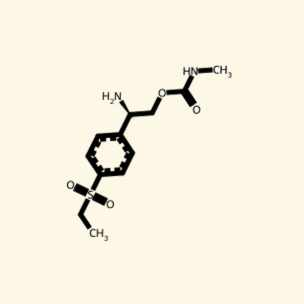 CCS(=O)(=O)c1ccc([C@@H](N)COC(=O)NC)cc1